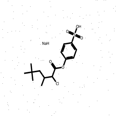 CC(CC(C)(C)C)C(Cl)C(=O)Oc1ccc(S(=O)(=O)O)cc1.[NaH]